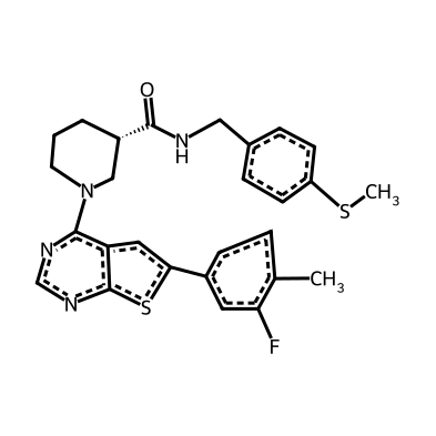 CSc1ccc(CNC(=O)[C@H]2CCCN(c3ncnc4sc(-c5ccc(C)c(F)c5)cc34)C2)cc1